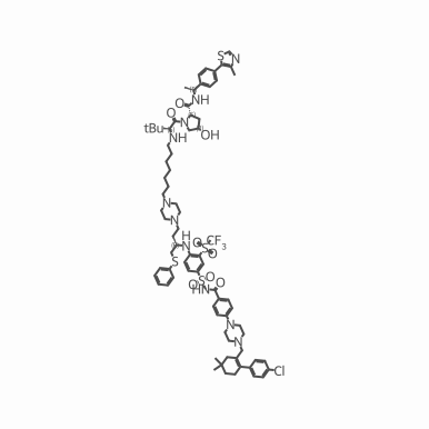 Cc1ncsc1-c1ccc([C@H](C)NC(=O)[C@@H]2C[C@@H](O)CN2C(=O)[C@@H](NCCCCCCCN2CCN(CC[C@H](CSc3ccccc3)Nc3ccc(S(=O)(=O)NC(=O)c4ccc(N5CCN(CC6=C(c7ccc(Cl)cc7)CCC(C)(C)C6)CC5)cc4)cc3S(=O)(=O)C(F)(F)F)CC2)C(C)(C)C)cc1